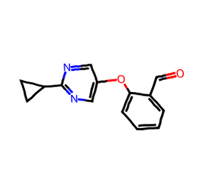 O=Cc1ccccc1Oc1cnc(C2CC2)nc1